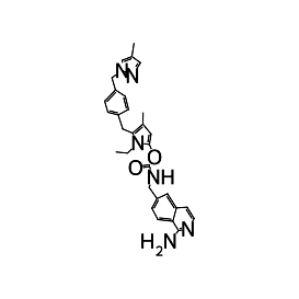 CCn1c(OC(=O)NCc2ccc3c(N)nccc3c2)cc(C)c1Cc1ccc(Cn2cc(C)cn2)cc1